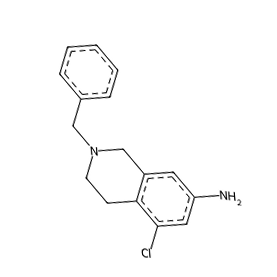 Nc1cc(Cl)c2c(c1)CN(Cc1ccccc1)CC2